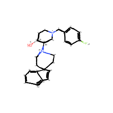 O[C@@H]1CCN(Cc2ccc([18F])cc2)C[C@H]1N1CCC2(C=Cc3ccccc32)CC1